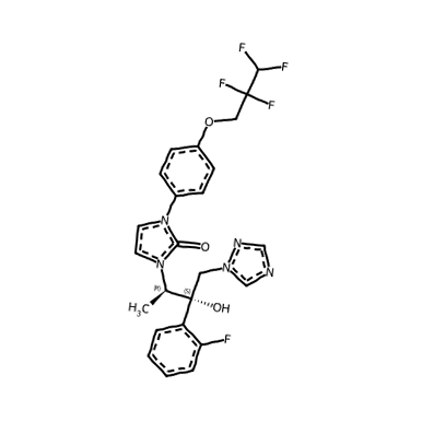 C[C@@H](n1ccn(-c2ccc(OCC(F)(F)C(F)F)cc2)c1=O)[C@@](O)(Cn1cncn1)c1ccccc1F